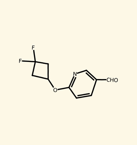 O=Cc1ccc(OC2CC(F)(F)C2)nc1